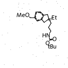 CC[C@@]1(CCCNC(=O)OC(C)(C)C)Cc2ccc(COC)cc2C1